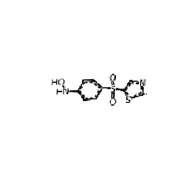 O=S(=O)(c1ccc(NO)cc1)c1cn[c]s1